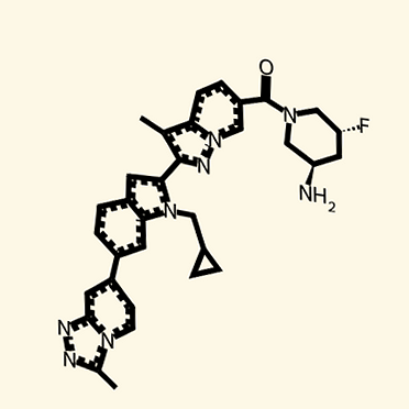 Cc1c(-c2cc3ccc(-c4ccn5c(C)nnc5c4)cc3n2CC2CC2)nn2cc(C(=O)N3C[C@H](N)C[C@@H](F)C3)ccc12